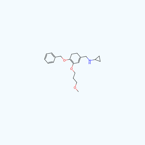 COCCCOC1=C(OCc2ccccc2)CCC(CNC2CC2)=C1